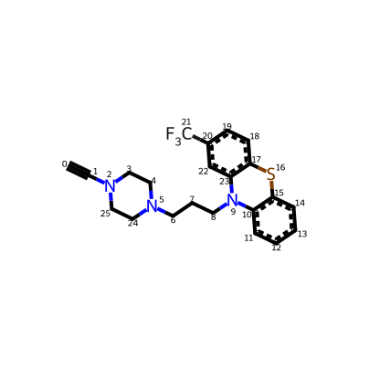 C#CN1CCN(CCCN2c3ccccc3Sc3ccc(C(F)(F)F)cc32)CC1